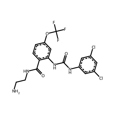 NCCNC(=O)c1ccc(OC(F)(F)F)cc1NC(=O)Nc1cc(Cl)cc(Cl)c1